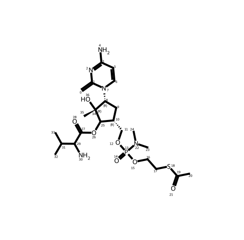 C=C1N=C(N)C=CN1[C@@H]1C[C@H](COP(=O)(OCCSC(C)=O)N(C)C)C(OC(=O)C(N)C(C)C)[C@]1(C)O